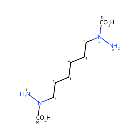 NN(CCCCCCN(N)C(=O)O)C(=O)O